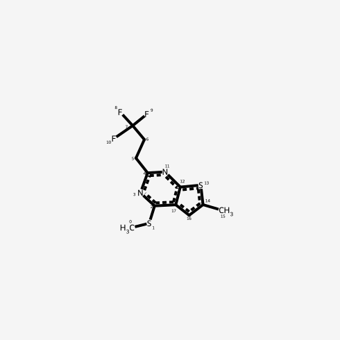 CSc1nc(CCC(F)(F)F)nc2sc(C)cc12